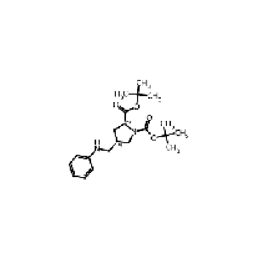 CC(C)(C)OC(=O)[C@@H]1C[C@H](CNc2ccccc2)CN1C(=O)OC(C)(C)C